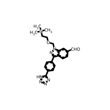 C[Si](C)(C)CCOCn1nc(-c2ccc(-c3nnn[nH]3)cc2)c2ccc(C=O)cc21